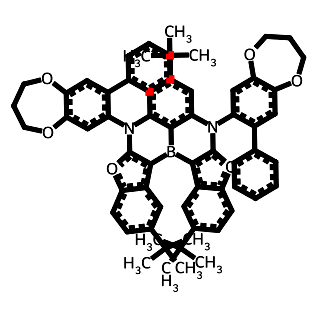 CC(C)(C)c1cc2c3c(c1)N(c1cc4c(cc1-c1ccccc1)OCCCO4)c1oc4ccc(C(C)(C)C)cc4c1B3c1c(oc3ccc(C(C)(C)C)cc13)N2c1cc2c(cc1-c1ccccc1)OCCCO2